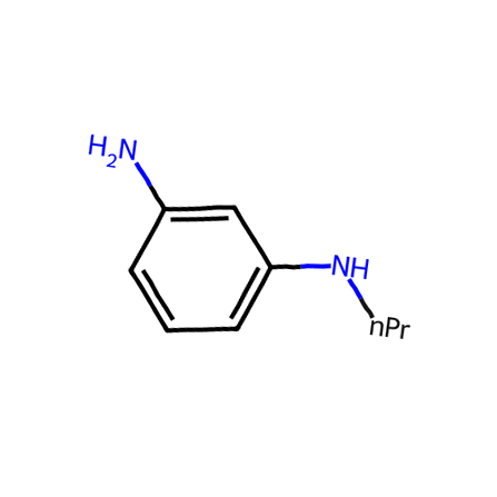 CCCNc1cccc(N)c1